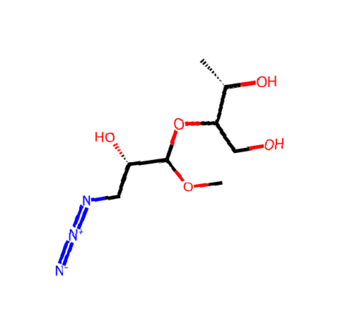 COC(OC(CO)[C@H](C)O)[C@@H](O)CN=[N+]=[N-]